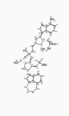 CC(C)(C)[Si](C)(C)O[C@@H]1[C@H](OP(=O)(S)OC[C@H]2O[C@@H](n3cnc4c(N)ncnc43)[C@H](O[PH](=O)S)[C@@H]2O)[C@@H](CO)O[C@H]1n1cc2c3c(ncnc31)SCCC2